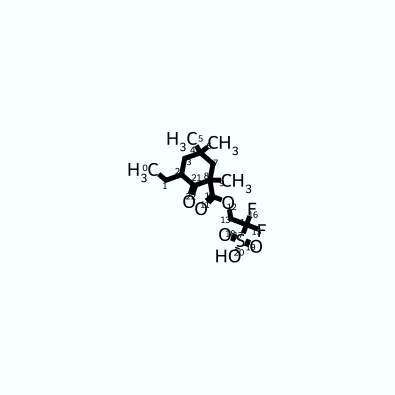 CCC1CC(C)(C)CC(C)(C(=O)OCC(F)(F)S(=O)(=O)O)C1=O